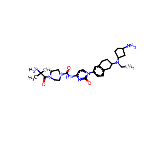 CCN(C1CCc2cc(-n3ccc(NC(=O)N4CCN(C(=O)C(C)(C)N)CC4)nc3=O)ccc2C1)C1CCC(N)C1